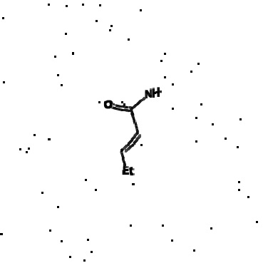 CCC=CC([NH])=O